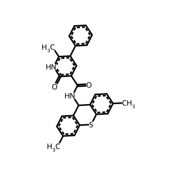 Cc1ccc2c(c1)Sc1cc(C)ccc1C2NC(=O)c1cc(-c2ccccc2)c(C)[nH]c1=O